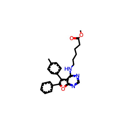 COC(=O)CCCCCNc1ncnc2oc(-c3ccccc3)c(-c3ccc(C)cc3)c12